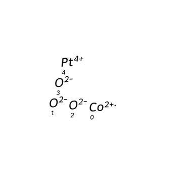 [Co+2].[O-2].[O-2].[O-2].[Pt+4]